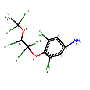 Nc1cc(Cl)c(OC(F)(F)C(F)OC(F)(F)C(F)(F)F)c(Cl)c1